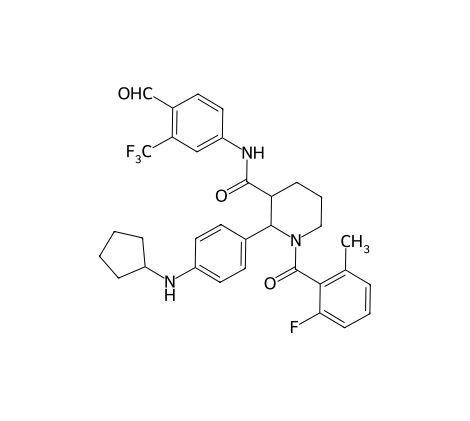 Cc1cccc(F)c1C(=O)N1CCCC(C(=O)Nc2ccc(C=O)c(C(F)(F)F)c2)C1c1ccc(NC2CCCC2)cc1